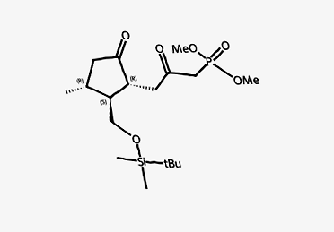 COP(=O)(CC(=O)C[C@H]1C(=O)C[C@@H](C)[C@@H]1CO[Si](C)(C)C(C)(C)C)OC